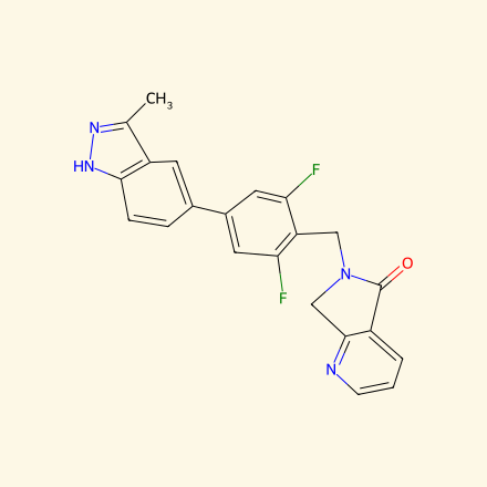 Cc1n[nH]c2ccc(-c3cc(F)c(CN4Cc5ncccc5C4=O)c(F)c3)cc12